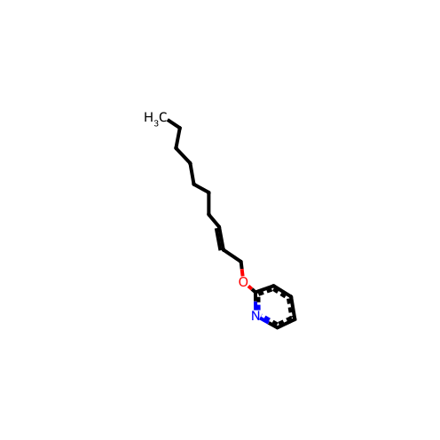 CCCCCCCC=CCOc1ccccn1